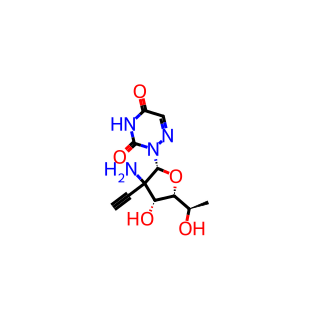 C#CC1(N)[C@@H](O)[C@@H]([C@@H](C)O)O[C@H]1n1ncc(=O)[nH]c1=O